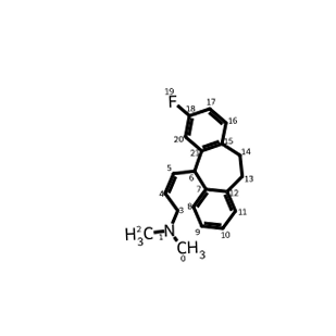 CN(C)C/C=C\C1c2ccccc2CCc2ccc(F)cc21